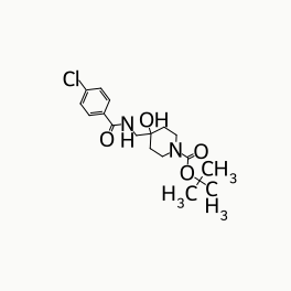 CC(C)(C)OC(=O)N1CCC(O)(CNC(=O)c2ccc(Cl)cc2)CC1